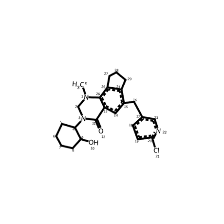 CN1CN(C2CCCCC2O)C(=O)c2cc(Cc3ccc(Cl)nc3)c3c(c21)CCC3